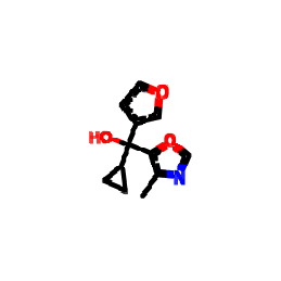 Cc1ncoc1C(O)(c1ccoc1)C1CC1